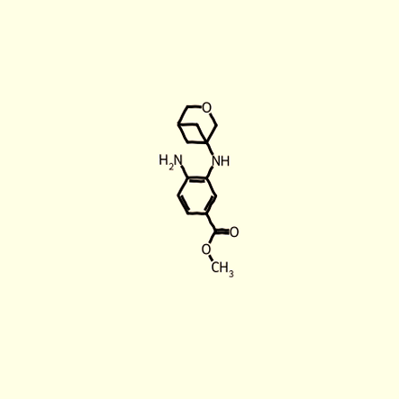 COC(=O)c1ccc(N)c(NC23COCC(C2)C3)c1